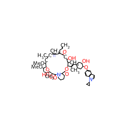 C=CCC1/C=C(\C)CC(C)CC(OC)C2OC(O)(C(=O)C(=O)N3CCCCC3C(=O)OC(C(C)=CC3CCC(Oc4ccc5c(ccn5C5CC5)c4)C(O)C3)C(C)C(O)CC1=O)C(C)CC2OC